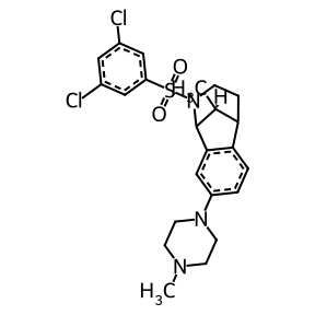 C[C@H]1C2CCN(S(=O)(=O)c3cc(Cl)cc(Cl)c3)C1c1cc(N3CCN(C)CC3)ccc12